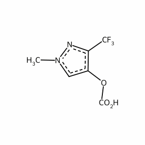 Cn1cc(OC(=O)O)c(C(F)(F)F)n1